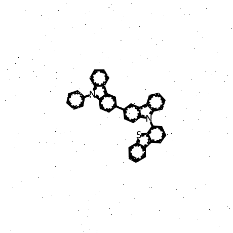 c1cc2sc3c(-n4c5ccccc5c5cc(-c6ccc7c(c6)c6ccccc6n7-c6ccccc6)ccc54)cccc3c2cc#1